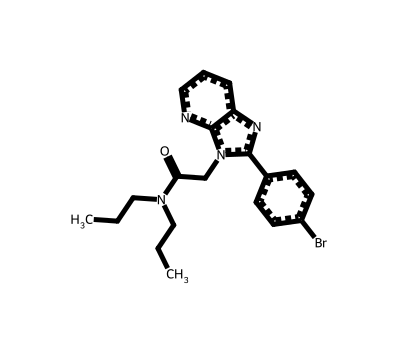 CCCN(CCC)C(=O)Cn1c(-c2ccc(Br)cc2)nc2cccnc21